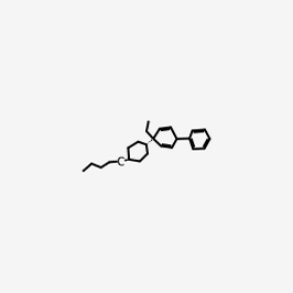 CCCCC[C@H]1CC[C@H](C2(CC)C=CC(c3ccccc3)C=C2)CC1